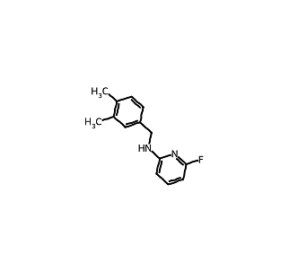 Cc1ccc(CNc2cccc(F)n2)cc1C